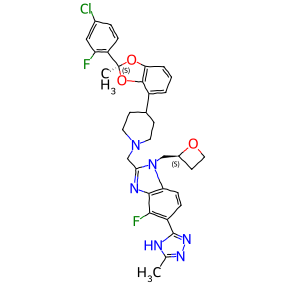 Cc1nnc(-c2ccc3c(nc(CN4CCC(c5cccc6c5O[C@@](C)(c5ccc(Cl)cc5F)O6)CC4)n3C[C@@H]3CCO3)c2F)[nH]1